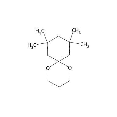 CC1(C)CC(C)(C)CC2(C1)OC[CH]CO2